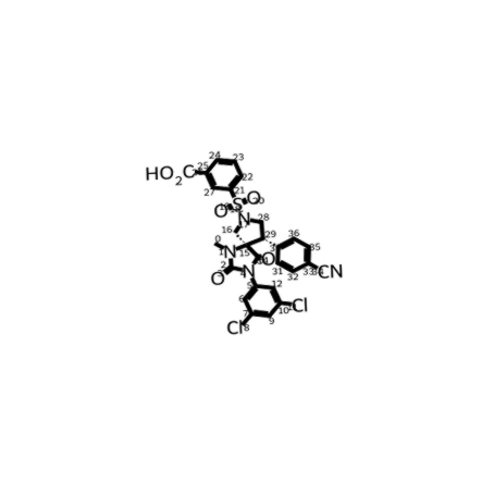 CN1C(=O)N(c2cc(Cl)cc(Cl)c2)C(=O)[C@@]12CN(S(=O)(=O)c1cccc(C(=O)O)c1)C[C@@H]2c1ccc(C#N)cc1